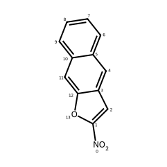 O=[N+]([O-])c1cc2cc3ccccc3cc2o1